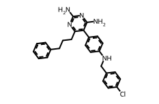 Nc1nc(N)c(-c2ccc(NCc3ccc(Cl)cc3)cc2)c(CCCc2ccccc2)n1